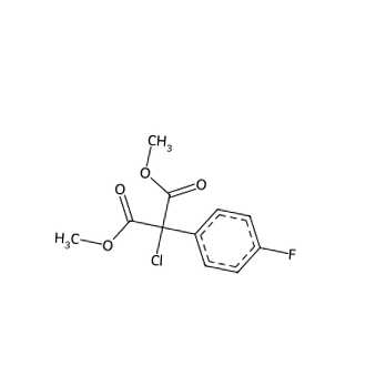 COC(=O)C(Cl)(C(=O)OC)c1ccc(F)cc1